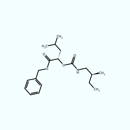 CC[C@H](C)CNC(=O)O[C@@H](CC(C)C)C(=O)OCc1ccccc1